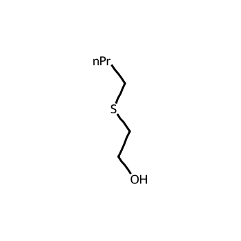 CCCCSCCO